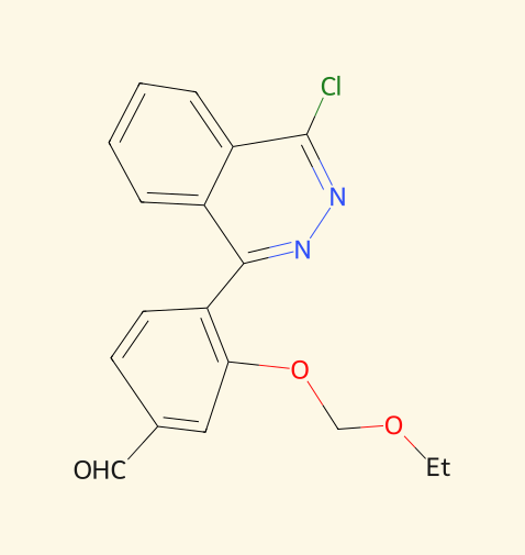 CCOCOc1cc(C=O)ccc1-c1nnc(Cl)c2ccccc12